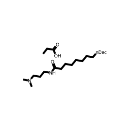 CCC(=O)O.CCCCCCCCCCCCCCCCCC(=O)NCCCN(C)C